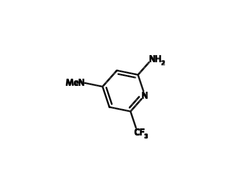 CNc1cc(N)nc(C(F)(F)F)c1